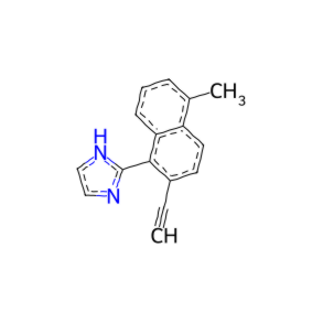 C#Cc1ccc2c(C)cccc2c1-c1ncc[nH]1